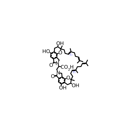 CC(C)=CCC/C(C)=C/CCC1(C)Oc2c(c(O)cc3c2CN(CC(C(=O)O)N2Cc4c(cc(O)c5c4OC(C)(CC/C=C(\C)CCC=C(C)C)C(O)C5)C2=O)C3=O)CC1O